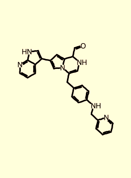 O=CC1NC=C(Cc2ccc(NCc3ccccn3)cc2)n2cc(-c3c[nH]c4ncccc34)cc21